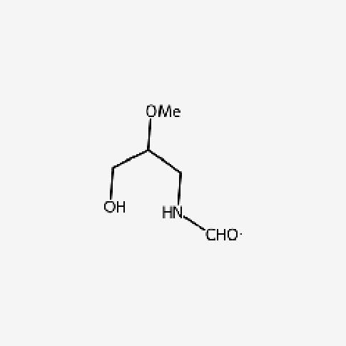 COC(CO)CN[C]=O